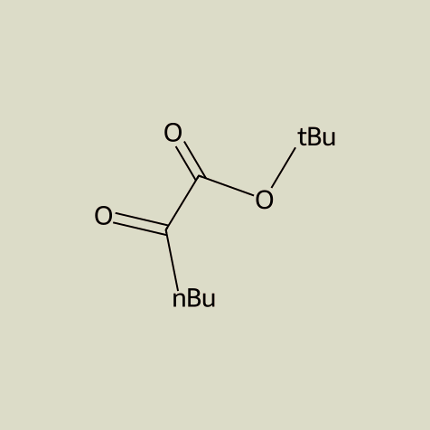 CCCCC(=O)C(=O)OC(C)(C)C